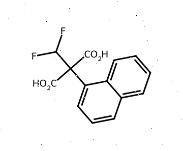 O=C(O)C(C(=O)O)(c1cccc2ccccc12)C(F)F